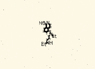 CCNCCCN(CC)Sc1cccc2c(O)nccc12